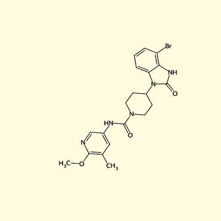 COc1ncc(NC(=O)N2CCC(n3c(=O)[nH]c4c(Br)cccc43)CC2)cc1C